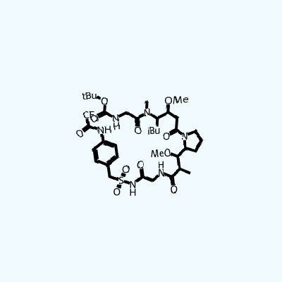 CCC(C)C(C(CC(=O)N1CCCC1C(OC)C(C)C(=O)NCC(=O)NS(=O)(=O)Cc1ccc(NC(=O)C(F)(F)F)cc1)OC)N(C)C(=O)CNC(=O)OC(C)(C)C